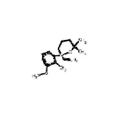 C=C[Si]1(c2cccc(O[SiH3])c2C)CCCC(C)(C)O1